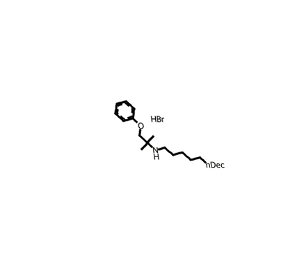 Br.CCCCCCCCCCCCCCCNC(C)(C)COc1ccccc1